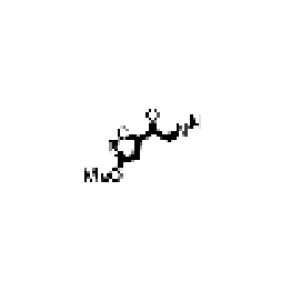 COc1cc(C(=O)C=[N+]=[N-])on1